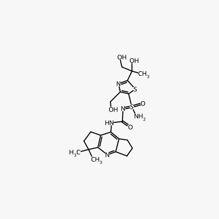 CC1(C)CCc2c1nc1c(c2NC(=O)N=S(N)(=O)c2sc(C(C)(O)CO)nc2CO)CCC1